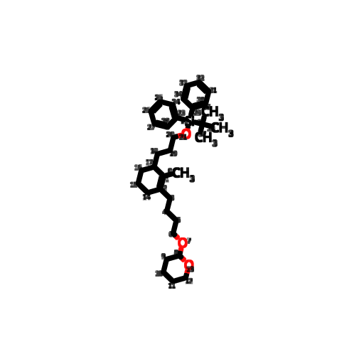 CC1=C(CCCCOC2CCCCO2)CCCC1CCCO[Si](c1ccccc1)(c1ccccc1)C(C)(C)C